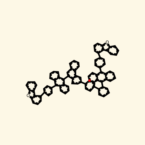 c1ccc(-c2c3ccccc3c(-c3ccc(-c4cccc5oc6ccccc6c45)cc3)c3ccccc23)c(-c2ccc(-c3ccc4c(-c5c6ccccc6c(-c6ccc(-c7cccc8oc9ccccc9c78)cc6)c6ccccc56)cc5ccccc5c4c3)cc2)c1